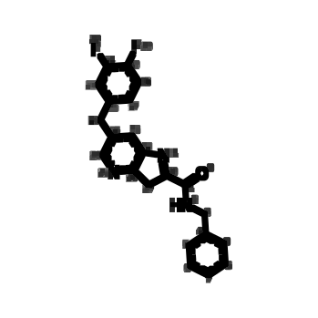 O=C(NCc1ccccc1)C1=Nc2cc(Cc3ccc(F)c(F)c3)cnc2C1